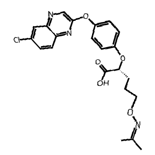 CC(C)=NOCCC[C@@H](Oc1ccc(Oc2cnc3cc(Cl)ccc3n2)cc1)C(=O)O